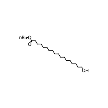 CCCCOC(=O)CCCCCCCCCCCCCCCCCO